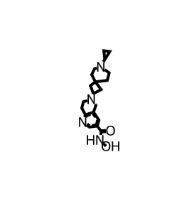 O=C(NO)c1cnc2c(c1)CN(C1CC3(CCN(C4CC4)CC3)C1)CC2